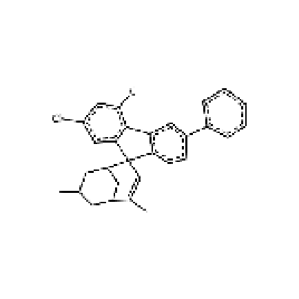 CC1=CC2(c3ccc(-c4ccccc4)cc3-c3c(Cl)cc(Cl)cc32)C2CC(C)CC1C2